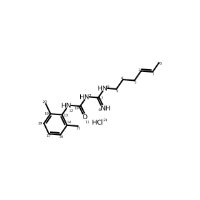 CC=CCCCNC(=N)NC(=O)Nc1c(C)cccc1C.Cl